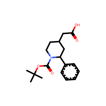 CC(C)(C)OC(=O)N1CCC(CC(=O)O)CC1c1ccccc1